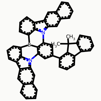 CC1(C)c2ccccc2-c2cccc(-c3cc4c5c(c3)-n3c6cc7ccccc7cc6c6cccc(c63)B5c3cccc5c6cc7ccccc7cc6n-4c35)c21